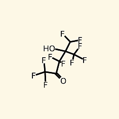 O=C(C(F)(F)F)C(F)(F)C(O)(C(F)F)C(F)(F)F